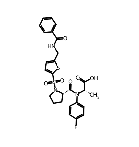 C[C@@H](C(=O)O)N(C(=O)[C@@H]1CCCN1S(=O)(=O)c1ccc(CNC(=O)c2ccccc2)s1)c1ccc(F)cc1